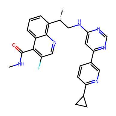 CNC(=O)c1c(F)cnc2c([C@H](C)CNc3cc(-c4ccc(C5CC5)nc4)ncn3)cccc12